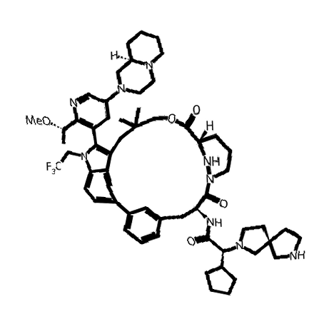 CO[C@@H](C)C1=C(c2c3c4cc(ccc4n2CC(F)(F)F)-c2cccc(c2)C[C@H](NC(=O)[C@H](C2CCCC2)N2CC[C@]4(CCNC4)C2)C(=O)N2CCC[C@H](N2)C(=O)OCC(C)(C)C3)CC(N2CCN3CCCC[C@@H]3C2)C=N1